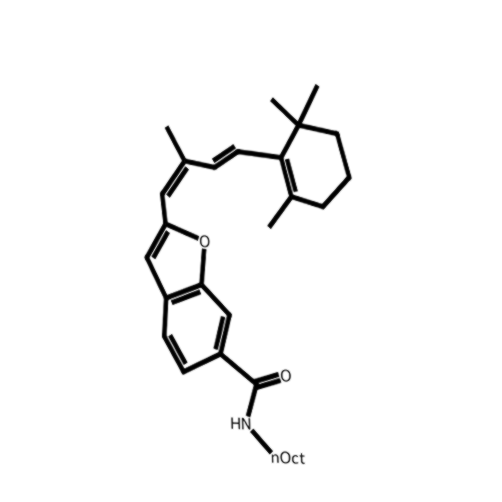 CCCCCCCCNC(=O)c1ccc2cc(C=C(C)C=CC3=C(C)CCCC3(C)C)oc2c1